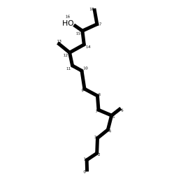 CCCCCC(C)CCCCCC(C)CC(O)CC